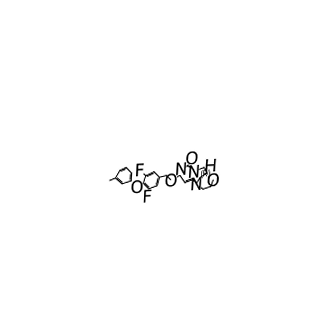 Cc1cccc(Oc2c(F)cc(COc3cc4n(c(=O)n3)C[C@H]3CN4CCO3)cc2F)c1